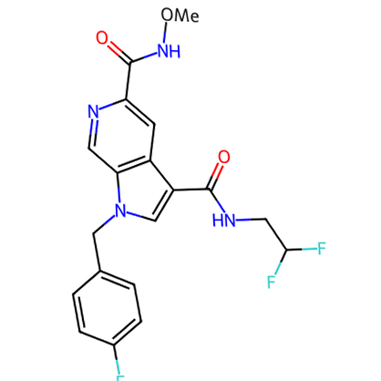 CONC(=O)c1cc2c(C(=O)NCC(F)F)cn(Cc3ccc(F)cc3)c2cn1